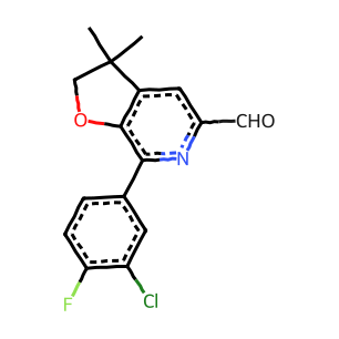 CC1(C)COc2c1cc(C=O)nc2-c1ccc(F)c(Cl)c1